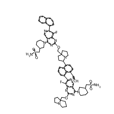 C#Cc1ccc(C2CCC3(COc4nc(N5CCCC(CS(N)(=O)=O)C5)c5cnc(-c6cccc7ccccc67)c(F)c5n4)CCCN23)c2cccc(-c3ncc4c(N5CCCC(CS(N)(=O)=O)C5)nc(OCC56CCCN5CCC6)nc4c3F)c12